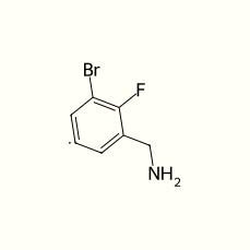 NCc1c[c]cc(Br)c1F